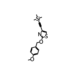 COc1ccc(COc2nc(C#C[Si](C)(C)C)cs2)cc1